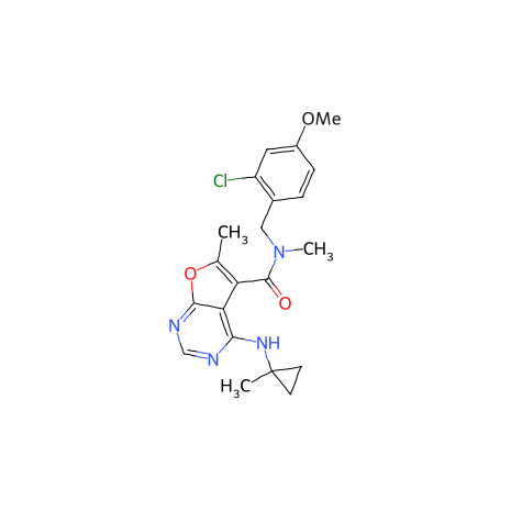 COc1ccc(CN(C)C(=O)c2c(C)oc3ncnc(NC4(C)CC4)c23)c(Cl)c1